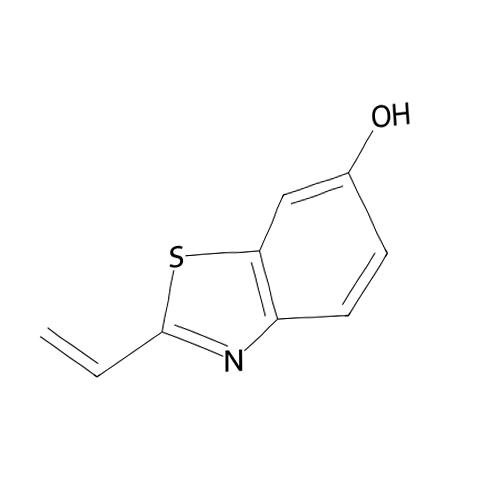 C=Cc1nc2ccc(O)cc2s1